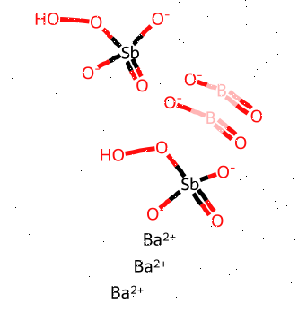 O=B[O-].O=B[O-].[Ba+2].[Ba+2].[Ba+2].[O]=[Sb]([O-])([O-])[O]O.[O]=[Sb]([O-])([O-])[O]O